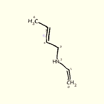 C=CNC/C=C/C